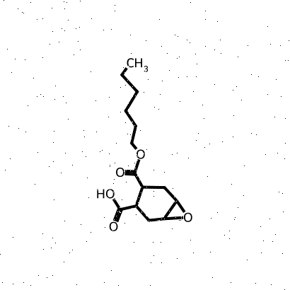 CCCCCCOC(=O)C1CC2OC2CC1C(=O)O